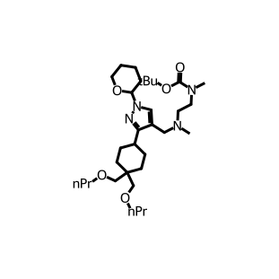 CCCOCC1(COCCC)CCC(c2nn(C3CCCCO3)cc2CN(C)CCN(C)C(=O)OC(C)(C)C)CC1